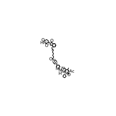 CC(=O)c1c(C)c2cnc(Nc3ccc(N4CCN(C(=O)CCCCCSc5cccc6c5CN(C5CCC(=O)NC5=O)C6=O)CC4)cn3)nc2n(C2CCCC2)c1=O